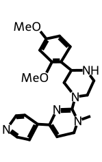 COc1ccc(C2CN(C3=NC(c4ccncc4)=CCN3C)CCN2)c(OC)c1